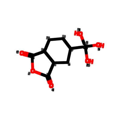 O=C1OC(=O)C2CC([Si](O)(O)O)CCC12